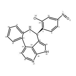 O=Nc1ccc([C@@H]2Nc3ccccc3-c3ccnc4[nH]cc2c34)c(Cl)c1